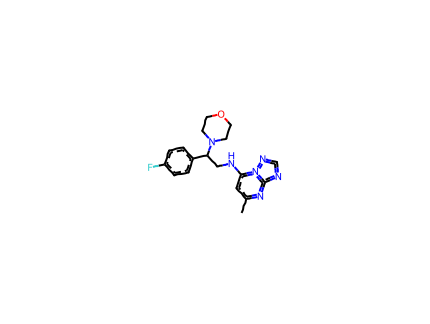 Cc1cc(NCC(c2ccc(F)cc2)N2CCOCC2)n2ncnc2n1